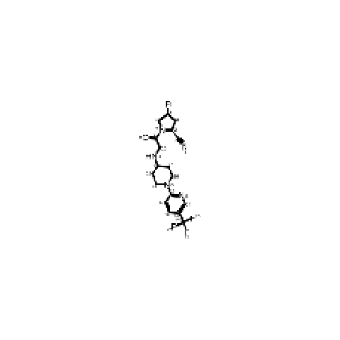 N#C[C@@H]1C[C@H](F)CN1C(=O)CNC1CCN(c2ccc(C(F)(F)F)cn2)CC1